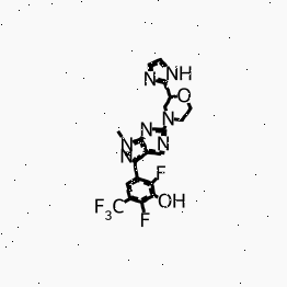 Cn1nc(-c2cc(C(F)(F)F)c(F)c(O)c2F)c2cnc(N3CCOC(c4ncc[nH]4)C3)nc21